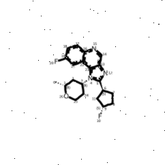 C[C@@H]1C[C@H](n2c([C@H]3CC[C@H](F)C3)nc3cnc4ccc(F)cc4c32)CCO1